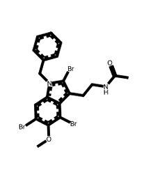 COc1c(Br)cc2c(c1Br)c(CCNC(C)=O)c(Br)n2Cc1ccccc1